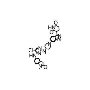 CN1C(=O)Cc2cc(Nc3nc(N(C)C4CCN(c5ccc6c(C7CCC(=O)NC7=O)nn(C)c6c5)CC4)ncc3Cl)ccc21